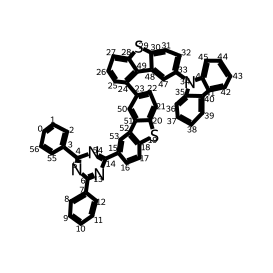 c1ccc(-c2nc(-c3ccccc3)nc(-c3ccc4sc5ccc(-c6cccc7sc8ccc(-n9c%10ccccc%10c%10ccccc%109)cc8c67)cc5c4c3)n2)cc1